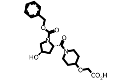 O=C(O)COC1CCN(C(=O)[C@@H]2C[C@@H](O)CN2C(=O)OCc2ccccc2)CC1